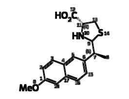 COc1ccc2cc([C@H](C)C3N[C@H](C(=O)O)CS3)ccc2c1